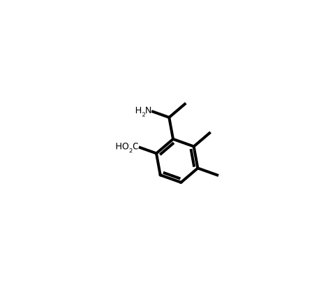 Cc1ccc(C(=O)O)c(C(C)N)c1C